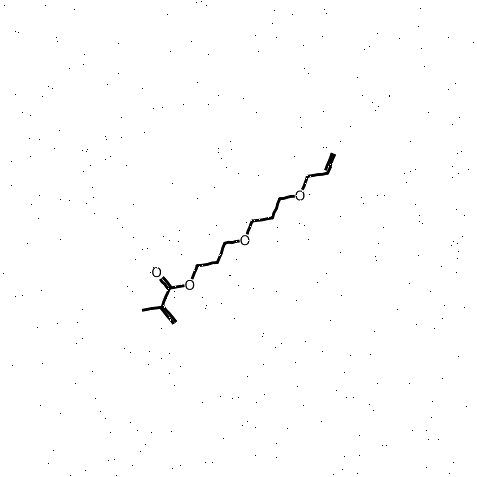 C=CCOCCCOCCCOC(=O)C(=C)C